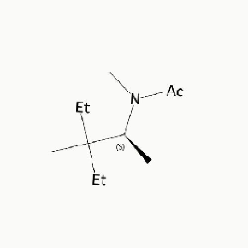 CCC(C)(CC)[C@H](C)N(C)C(C)=O